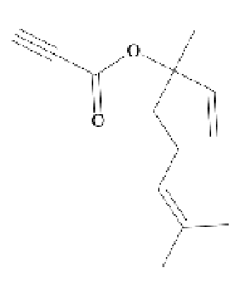 C#CC(=O)OC(C)(C=C)CCC=C(C)C